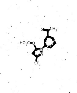 NC(=S)c1cccc(-n2nc(C(F)(F)F)cc2OC(=O)O)c1